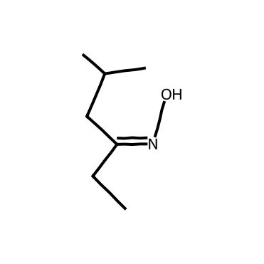 CCC(CC(C)C)=NO